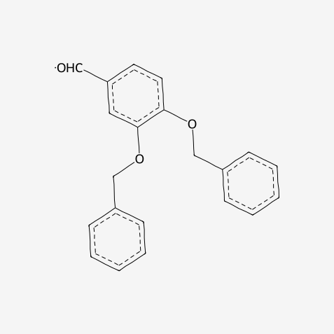 O=[C]c1ccc(OCc2ccccc2)c(OCc2ccccc2)c1